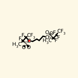 CC(F)(C(F)(F)C(F)(F)F)S(=O)(=O)OCCCCOS(=O)(=O)C(C)(F)C(F)(F)C(F)(F)F